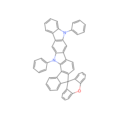 c1ccc(-n2c3ccccc3c3cc4c(cc32)c2ccc3c(c2n4-c2ccccc2)-c2ccccc2C32c3ccccc3Oc3ccccc32)cc1